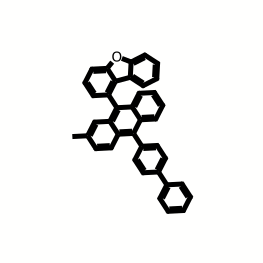 Cc1ccc2c(-c3ccc(-c4ccccc4)cc3)c3ccccc3c(-c3cccc4oc5ccccc5c34)c2c1